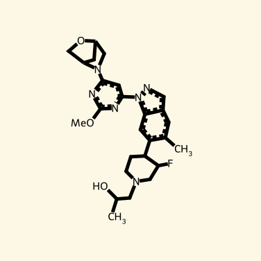 COc1nc(N2CC3CC2CO3)cc(-n2ncc3cc(C)c(C4CCN(CC(C)O)CC4F)cc32)n1